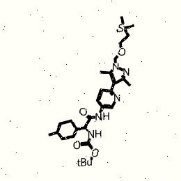 Cc1nn(COCC[Si](C)(C)C)c(C)c1-c1ccc(NC(=O)[C@@H](NC(=O)OC(C)(C)C)C2CCC(C)CC2)cn1